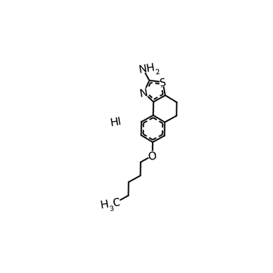 CCCCCOc1ccc2c(c1)CCc1sc(N)nc1-2.I